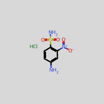 Cl.Nc1ccc(S(N)(=O)=O)c([N+](=O)[O-])c1